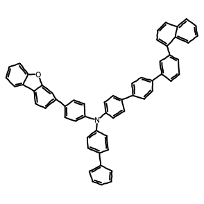 c1ccc(-c2ccc(N(c3ccc(-c4ccc(-c5cccc(-c6cccc7ccccc67)c5)cc4)cc3)c3ccc(-c4ccc5c(c4)oc4ccccc45)cc3)cc2)cc1